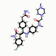 CN1CCN(CC(=O)N(C)c2ccc(NC(=C3C(=O)Nc4cc(F)ccc43)c3ccc(CC(N)=O)cc3)cc2)CC1